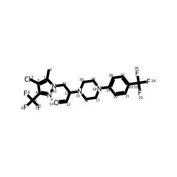 Cc1c(Cl)c(C(F)(F)F)nn1CC(C=O)N1CCN(c2ccc(C(F)(F)F)cc2)CC1